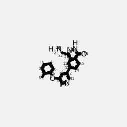 Cc1ccccc1Oc1cncc(-c2ccc3c(=O)[nH]nc(CN)c3c2)c1